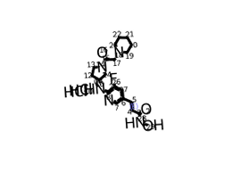 Cl.Cl.O=C(/C=C/c1cnc(N[C@@H]2CCN(C(=O)CN3CCCCC3)C2)c(F)c1)NO